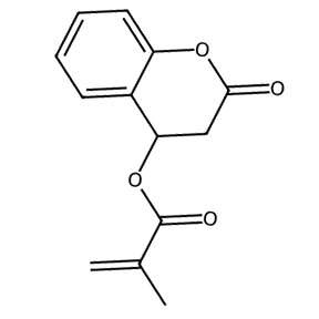 C=C(C)C(=O)OC1CC(=O)Oc2ccccc21